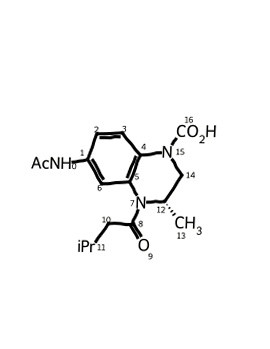 CC(=O)Nc1ccc2c(c1)N(C(=O)CC(C)C)[C@@H](C)CN2C(=O)O